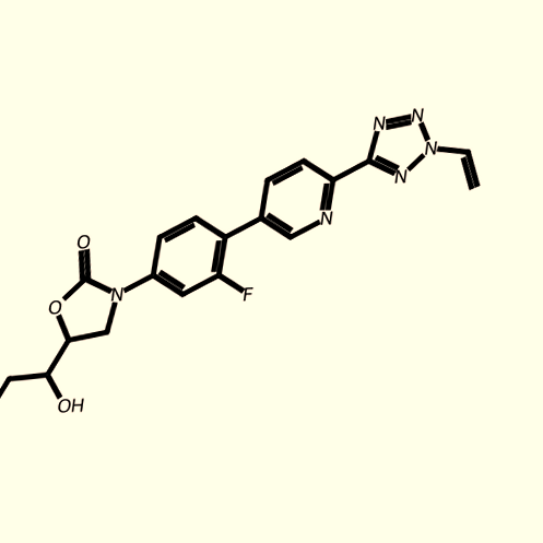 C=Cn1nnc(-c2ccc(-c3ccc(N4CC(C(O)CF)OC4=O)cc3F)cn2)n1